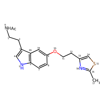 CC(=O)NCCc1c[nH]c2ccc(OCCc3csc(C)n3)cc12